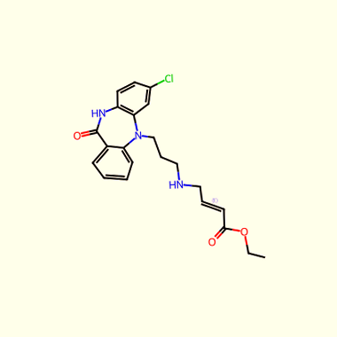 CCOC(=O)/C=C/CNCCCN1c2cc(Cl)ccc2NC(=O)c2ccccc21